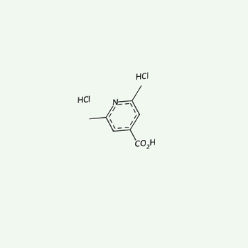 Cc1cc(C(=O)O)cc(C)n1.Cl.Cl